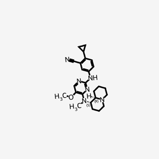 COc1cnc(Nc2ccc(C3CC3)c(C#N)c2)nc1N(C)[C@H]1CCCN2CCCC[C@H]12